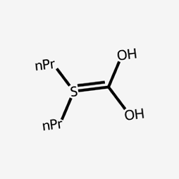 CCCS(CCC)=C(O)O